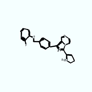 Fc1ccccc1OCc1ccc(-c2nc(C3CCCN3)n3ccncc23)cc1